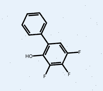 Oc1c(-c2ccccc2)cc(F)c(F)c1F